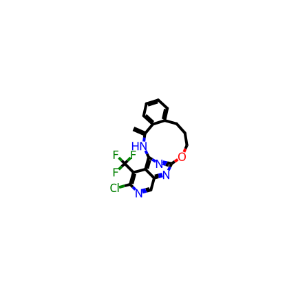 C=C1Nc2nc(nc3cnc(Cl)c(C(F)(F)F)c23)OCCCc2ccccc21